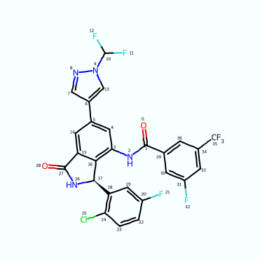 O=C(Nc1cc(-c2cnn(C(F)F)c2)cc2c1[C@@H](c1cc(F)ccc1Cl)NC2=O)c1cc(F)cc(C(F)(F)F)c1